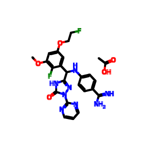 CC(=O)O.COc1cc(OCCF)cc(C(Nc2ccc(C(=N)N)cc2)c2nn(-c3ncccn3)c(=O)[nH]2)c1F